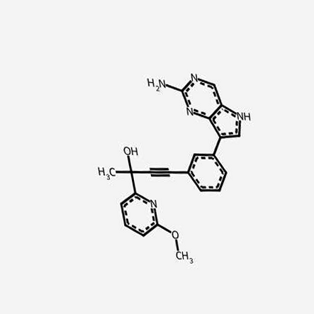 COc1cccc(C(C)(O)C#Cc2cccc(-c3c[nH]c4cnc(N)nc34)c2)n1